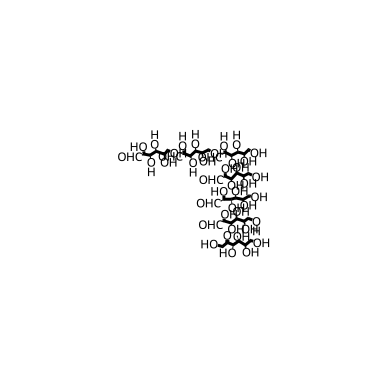 O=C(CO)[C@@H](O)[C@H](O)[C@H](O)CO.O=C[C@H](O)[C@@H](O)[C@H](O)[C@H](O)CO.O=C[C@H](O)[C@@H](O)[C@H](O)[C@H](O)CO.O=C[C@H](O)[C@@H](O)[C@H](O)[C@H](O)CO.O=C[C@H](O)[C@@H](O)[C@H](O)[C@H](O)CO.O=C[C@H](O)[C@@H](O)[C@H](O)[C@H](O)CO.O=C[C@H](O)[C@@H](O)[C@H](O)[C@H](O)CO